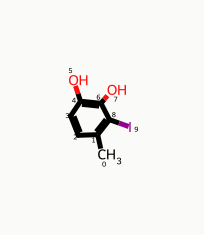 Cc1ccc(O)c(O)c1I